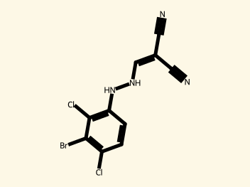 N#CC(C#N)=CNNc1ccc(Cl)c(Br)c1Cl